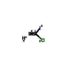 CC[SiH](Cl)I.[H+]